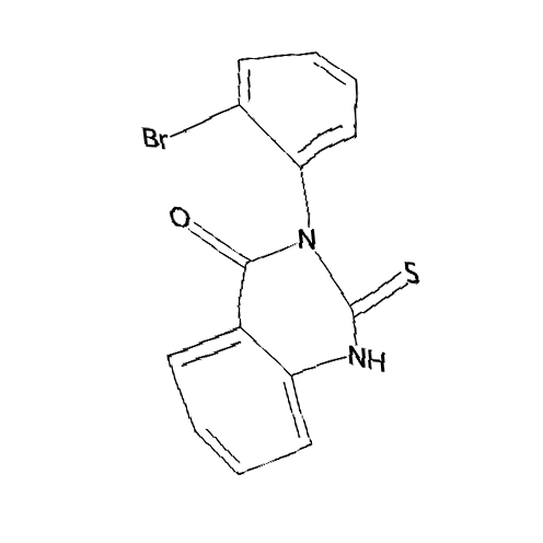 O=c1c2ccccc2[nH]c(=S)n1-c1ccccc1Br